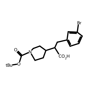 CC(C)(C)OC(=O)N1CCC(C(Cc2cccc(Br)c2)C(=O)O)CC1